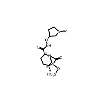 CC(=O)N1CCC(ONC(=O)[C@@H]2CC[C@@H]3CN2C(=O)N3OS(=O)(=O)O)C1